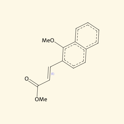 COC(=O)/C=C/c1ccc2ccccc2c1OC